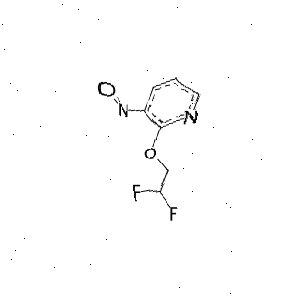 O=Nc1cccnc1OCC(F)F